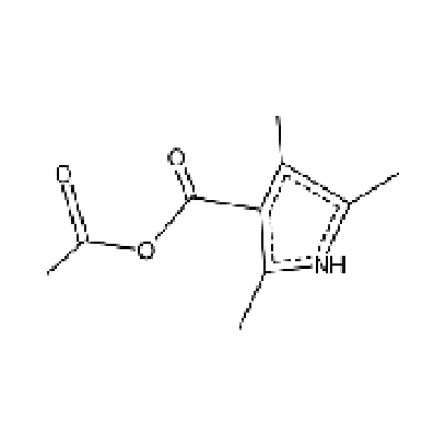 CC(=O)OC(=O)c1c(C)[nH]c(C)c1C